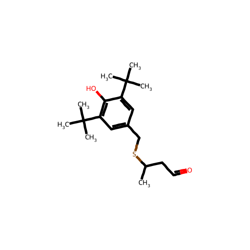 CC(CC=O)SCc1cc(C(C)(C)C)c(O)c(C(C)(C)C)c1